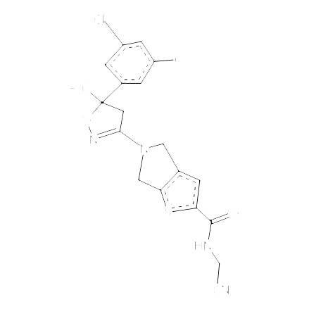 N#CCNC(=O)c1cc2c(s1)CN(C1=NOC(c3cc(Cl)cc(Cl)c3)(C(F)(F)F)C1)C2